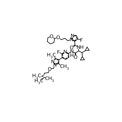 Cc1nn(COCCS(C)(C)C)c(C)c1-c1ccc(NC(=O)C(NC(=O)c2c(F)cnn2CCCOC2CCCCO2)C(C2CC2)C2CC2)nc1F